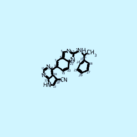 CC(Nc1ncc2cc(-c3ncnc4[nH]cc(C#N)c34)ccc2n1)c1ccccc1